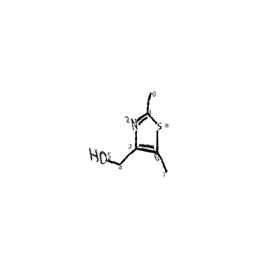 Cc1nc(CO)c(C)s1